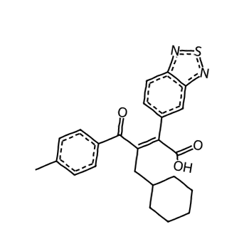 Cc1ccc(C(=O)C(CC2CCCCC2)=C(C(=O)O)c2ccc3nsnc3c2)cc1